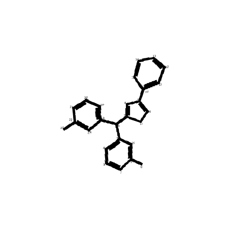 Cc1cccc(C(C2=CC(c3ccccc3)=CC2)c2cccc(C)c2)c1